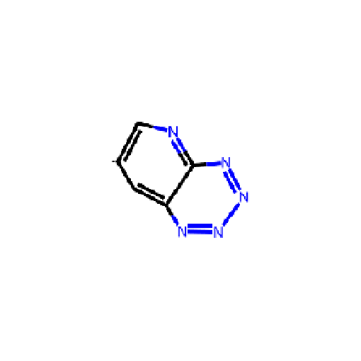 [c]1cnc2nnnnc2c1